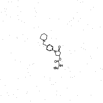 CC(C)(C)NC(=O)OC1CC(=O)N(c2ccc(CN3CCCCC3)cc2)C1